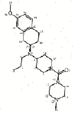 CCCN(C1CCN(C(=O)N2CCN(C)CC2)CC1)[C@@H]1CCc2ccc(OC)cc2C1